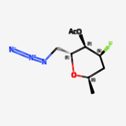 CC(=O)O[C@H]1[C@@H](F)C[C@@H](C)O[C@@H]1CN=[N+]=[N-]